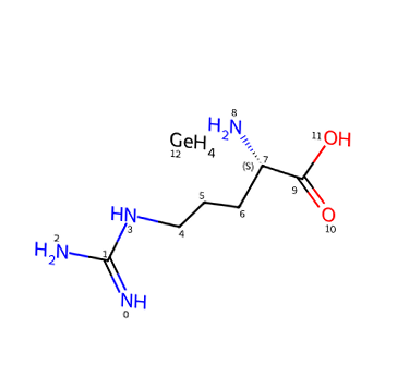 N=C(N)NCCC[C@H](N)C(=O)O.[GeH4]